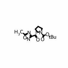 Cc1nc(C(=O)[C@@H]2CCCN2C(=O)OC(C)(C)C)no1